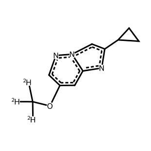 [2H]C([2H])([2H])Oc1cnn2cc(C3CC3)nc2c1